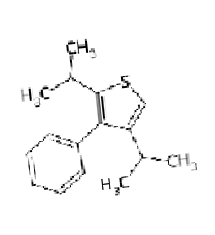 CC(C)c1csc(C(C)C)c1-c1ccccc1